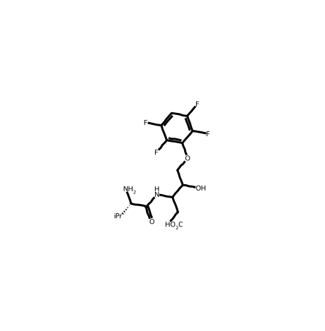 CC(C)[C@H](N)C(=O)NC(CC(=O)O)C(O)COc1c(F)c(F)cc(F)c1F